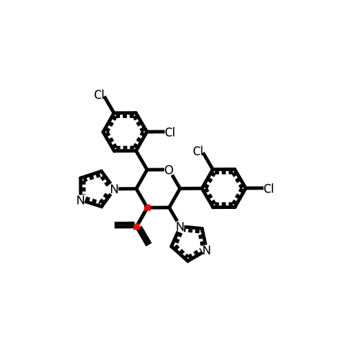 C=CCC(C(OC(c1ccc(Cl)cc1Cl)C(CC=C)n1ccnc1)c1ccc(Cl)cc1Cl)n1ccnc1